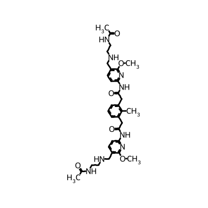 COc1nc(NC(=O)Cc2cccc(CC(=O)Nc3ccc(CNCCNC(C)=O)c(OC)n3)c2C)ccc1CNCCNC(C)=O